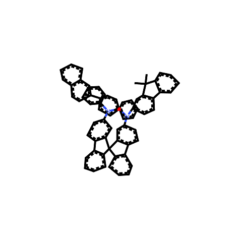 CC1(C)c2ccccc2-c2ccc(N(c3ccc(-c4ccc5ccccc5c4)cc3)c3ccc4c(c3)C3(c5ccccc5-c5ccc(N(c6ccccc6)c6ccccc6)cc53)c3ccccc3-4)cc21